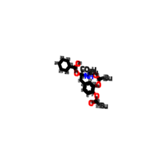 CCC(C)N[C@@](Cc1ccc(OC(=O)C(C)CC)c(OC(=O)C(C)CC)c1)(OC(=O)C1CCCCC1)C(=O)O